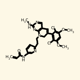 C=CC(=O)Nc1ccc(CCN2CC(c3c(Cl)c(OC)cc(OC)c3Cl)=Cc3cnc(NC)nc32)nc1